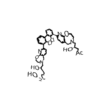 CC(=O)C[C@H](O)CN1CCOc2nc(-c3cccc(-c4cccc(-c5ccc6c(n5)OCCN(C[C@@H](O)CC(=O)O)C6)c4Cl)c3Cl)ccc2C1